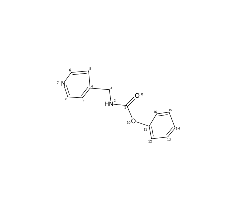 O=C(NCc1ccncc1)Oc1ccccc1